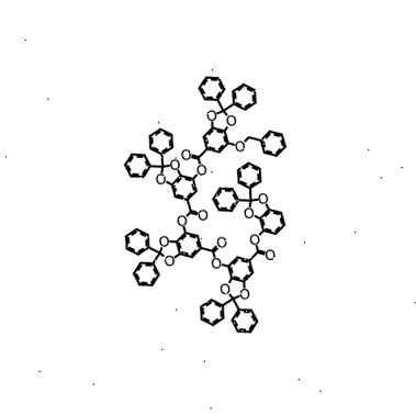 O=C(Oc1cccc2c1OC(c1ccccc1)(c1ccccc1)O2)c1cc(OC(=O)c2cc(OC(=O)c3cc(OC(=O)c4cc(OCc5ccccc5)c5c(c4)OC(c4ccccc4)(c4ccccc4)O5)c4c(c3)OC(c3ccccc3)(c3ccccc3)O4)c3c(c2)OC(c2ccccc2)(c2ccccc2)O3)c2c(c1)OC(c1ccccc1)(c1ccccc1)O2